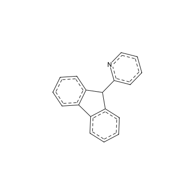 c1ccc(C2c3ccccc3-c3ccccc32)nc1